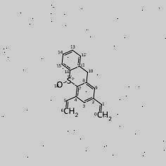 C=Cc1cc(C=C)c2c(c1)Cc1ccccc1[S+]2[O-]